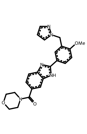 COc1ccc(-c2nc3ccc(C(=O)N4CCOCC4)cc3[nH]2)cc1Cn1cccn1